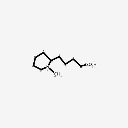 CN1CCCCC1CCCCS(=O)(=O)O